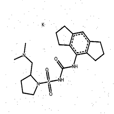 CN(C)CC1CCCN1S(=O)(=O)NC(=O)Nc1c2c(cc3c1CCC3)CCC2.[K]